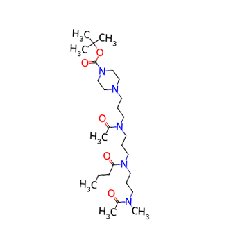 CCCC(=O)N(CCCN(C)C(C)=O)CCCN(CCCN1CCN(C(=O)OC(C)(C)C)CC1)C(C)=O